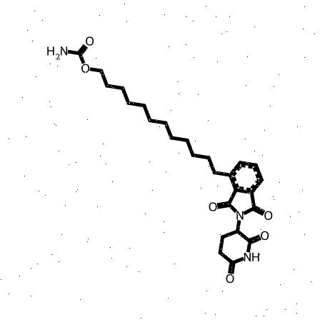 NC(=O)OCCCCCCCCCCCCc1cccc2c1C(=O)N(C1CCC(=O)NC1=O)C2=O